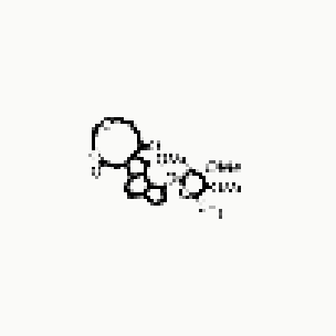 CO[C@@H]1[C@@H](OC)[C@H](C)O[C@@H](OC2CCC3C=CC4C5CC(=O)OCCCCCCC(=O)C5CC4C32)[C@@H]1OC